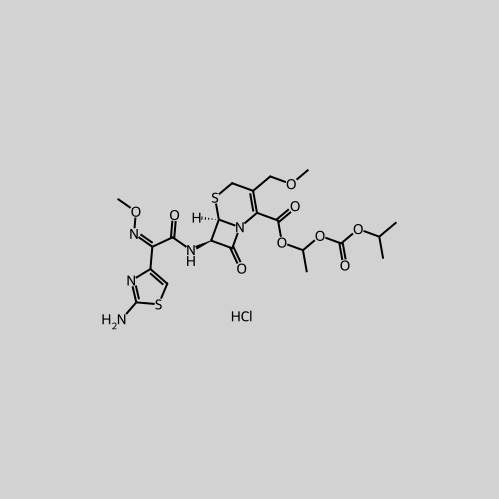 COCC1=C(C(=O)OC(C)OC(=O)OC(C)C)N2C(=O)[C@@H](NC(=O)/C(=N\OC)c3csc(N)n3)[C@H]2SC1.Cl